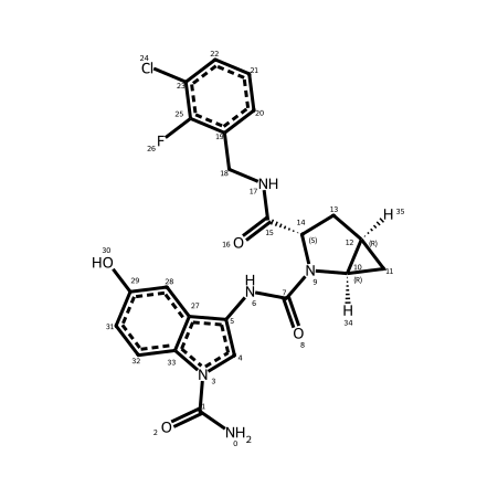 NC(=O)n1cc(NC(=O)N2[C@@H]3C[C@@H]3C[C@H]2C(=O)NCc2cccc(Cl)c2F)c2cc(O)ccc21